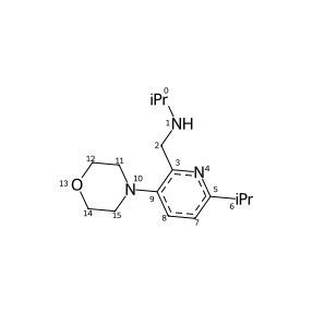 CC(C)NCc1nc(C(C)C)ccc1N1CCOCC1